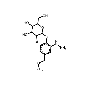 COCc1ccc(OC2OC(CO)C(O)C(O)C2O)c(NN)c1